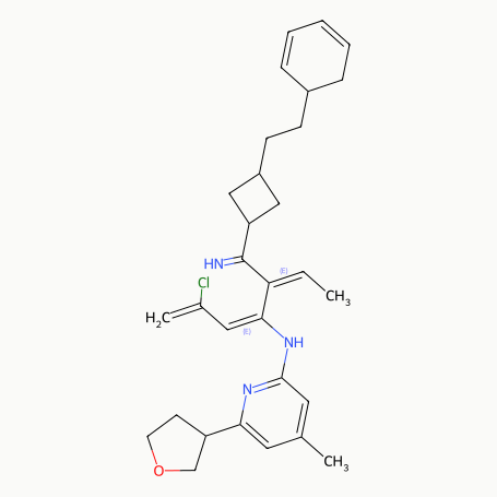 C=C(Cl)/C=C(Nc1cc(C)cc(C2CCOC2)n1)\C(=C/C)C(=N)C1CC(CCC2C=CC=CC2)C1